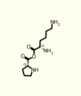 NCCCC[C@H](N)C(=O)OC(=O)[C@@H]1CCCN1